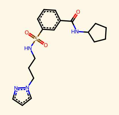 O=C(NC1CCCC1)c1cccc(S(=O)(=O)NCCCn2cccn2)c1